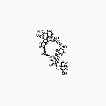 CCn1c(-c2cccnc2[C@H](C)OC)c2c3cc(ccc31)-c1csc(n1)C[C@H](NC(=O)[C@H](C(C)C)N(C)C(=O)N1CC[C@@H]3CN(C)C[C@@H]31)C(=O)N1CCCC(C=O)(COCC(C)(C)C2)N1